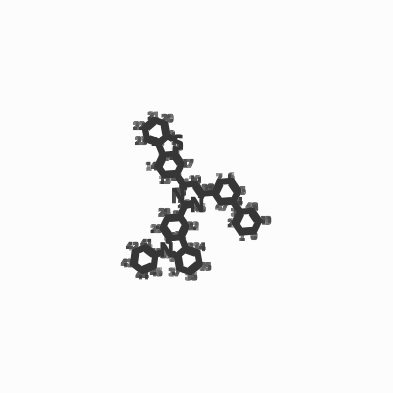 c1ccc(-c2cccc(-c3cc(-c4ccc5c(c4)sc4ccccc45)nc(-c4ccc5c(c4)c4ccccc4n5-c4ccccc4)n3)c2)cc1